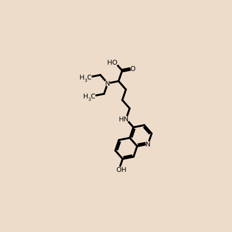 CCN(CC)C(CCCNc1ccnc2cc(O)ccc12)C(=O)O